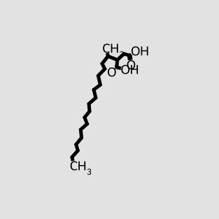 CCCCCCCCCCCCCCCCC(C)C(CC(=O)O)C(=O)O